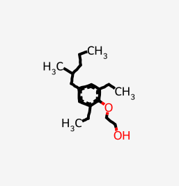 CCCC(C)Cc1cc(CC)c(OCCO)c(CC)c1